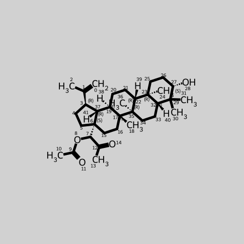 C=C(C)[C@@H]1CC[C@]2(C(OC(C)=O)C(C)=O)CC[C@]3(C)[C@H](CC[C@@H]4[C@@]5(C)CC[C@H](O)C(C)(C)[C@@H]5CC[C@]43C)[C@@H]12